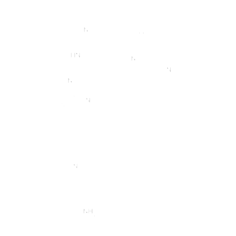 NC1CCN(CCCCn2ccc(Nc3cc(C(=O)NC4CNC4)ccn3)nc2=O)CC1